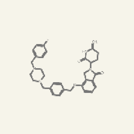 C=C1CCC(N2Cc3c(OCc4ccc(CN5CCN(Cc6ccc(F)cc6)CC5)cc4)cccc3C2=O)C(=O)N1